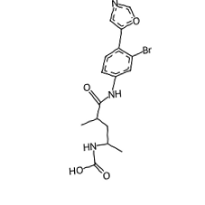 CC(CC(C)C(=O)Nc1ccc(-c2cnco2)c(Br)c1)NC(=O)O